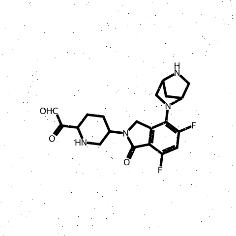 O=CC(=O)C1CCC(N2Cc3c(c(F)cc(F)c3N3CC4CC3CN4)C2=O)CN1